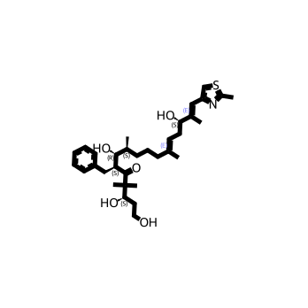 C/C(=C\C[C@H](O)/C(C)=C/c1csc(C)n1)CCC[C@H](C)[C@@H](O)[C@H](Cc1ccccc1)C(=O)C(C)(C)[C@@H](O)CCO